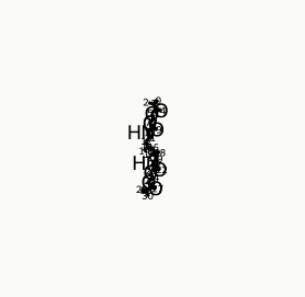 C=C(C)C(=O)OCOC(=O)NCCC(C)CC(C)(C)CNC(=O)OCOC(=O)C(=C)C